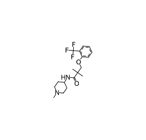 CN1CCC(NC(=O)C(C)(C)COc2ccccc2C(F)(F)F)CC1